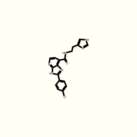 O=C(NCCc1c[nH]cn1)c1ccnc2[nH]c(-c3ccc(Cl)cc3)nc12